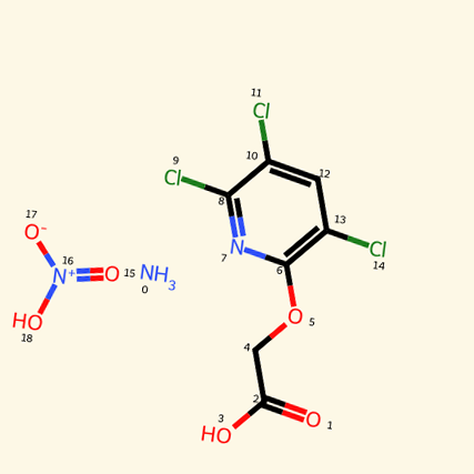 N.O=C(O)COc1nc(Cl)c(Cl)cc1Cl.O=[N+]([O-])O